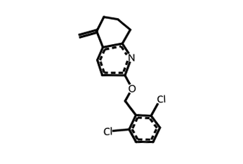 C=C1CCCc2nc(OCc3c(Cl)cccc3Cl)ccc21